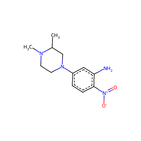 CC1CN(c2ccc([N+](=O)[O-])c(N)c2)CCN1C